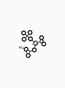 N#Cc1ccc2c(c1)-c1ccccc1C2c1cccc(-c2cc(-n3c4ccccc4c4ccccc43)nc(-c3ccc(C(c4ccccc4)(c4ccccc4)c4ccccc4)cc3)n2)c1